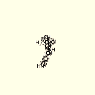 CC(=O)c1c(C)c2cnc(Nc3ccc(C4CCC(N5CCNCC5)CC4)cn3)nc2n(C2CCCC2)c1=O